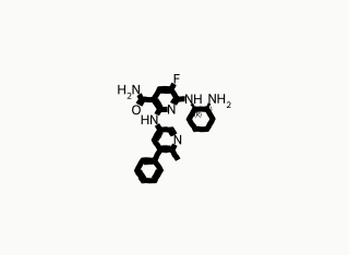 Cc1ncc(Nc2nc(N[C@@H]3CCCC[C@@H]3N)c(F)cc2C(N)=O)cc1-c1ccccc1